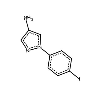 Nc1cnn(-c2ccc(I)cc2)c1